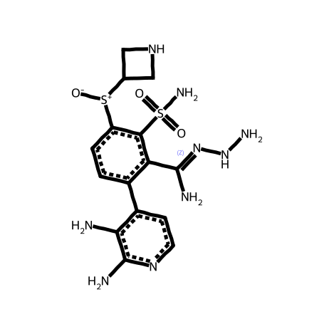 NN/N=C(\N)c1c(-c2ccnc(N)c2N)ccc([S+]([O-])C2CNC2)c1S(N)(=O)=O